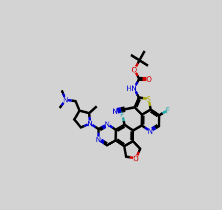 CC1C(CN(C)C)CCN1c1ncc2c3c(c(-c4ncc(F)c5sc(NC(=O)OC(C)(C)C)c(C#N)c45)c(F)c2n1)COC3